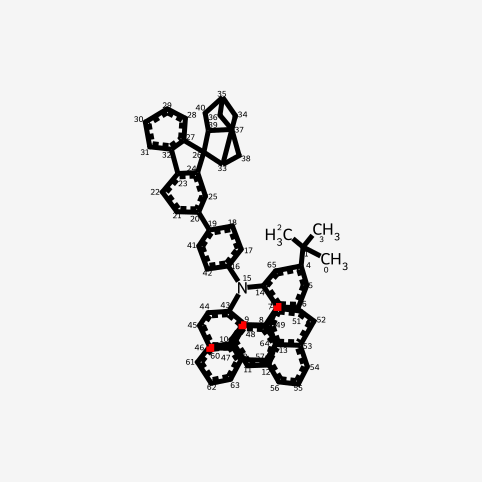 CC(C)(C)c1ccc(-c2ccccc2)c(N(c2ccc(-c3ccc4c(c3)C3(c5ccccc5-4)C4CC5CC(C4)C3C5)cc2)c2ccccc2-c2cccc3cccc(-c4ccccc4)c23)c1